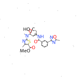 COC(=O)c1sc(N(C)C(=O)C[C@@H](CC(=O)O)NC(=O)c2cccc(-c3noc(C)n3)c2)nc1C